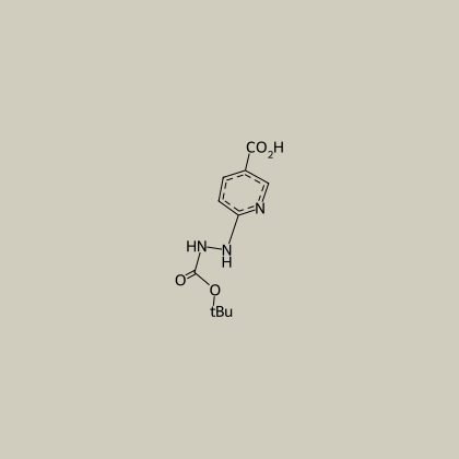 CC(C)(C)OC(=O)NNc1ccc(C(=O)O)cn1